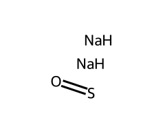 O=S.[NaH].[NaH]